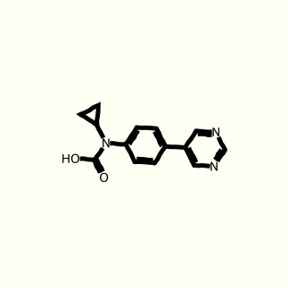 O=C(O)N(c1ccc(-c2cncnc2)cc1)C1CC1